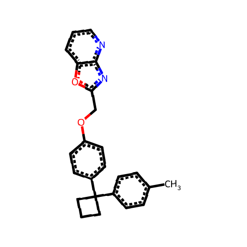 Cc1ccc(C2(c3ccc(OCc4nc5ncccc5o4)cc3)CCC2)cc1